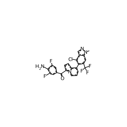 Cn1ncc2c(Cl)c(-c3cccn4c(C(=O)c5cc(F)c(N)c(F)c5)ccc34)c(C(F)(F)F)cc21